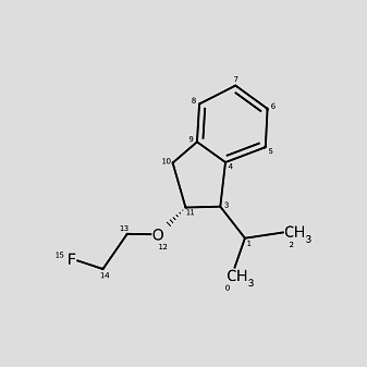 CC(C)C1c2ccccc2C[C@H]1OCCF